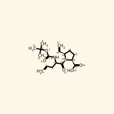 C=CCC(NC(=O)OC(C)(C)C)C(=O)N1[C@@H](C=C)CC[C@H]1C(=O)O